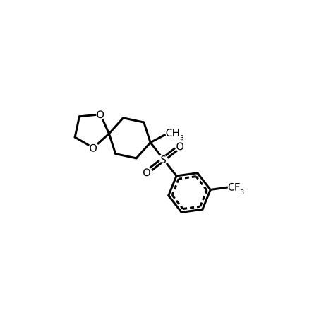 CC1(S(=O)(=O)c2cccc(C(F)(F)F)c2)CCC2(CC1)OCCO2